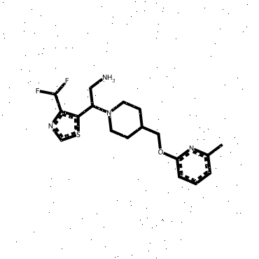 Cc1cccc(OCC2CCN(C(CN)c3scnc3C(F)F)CC2)n1